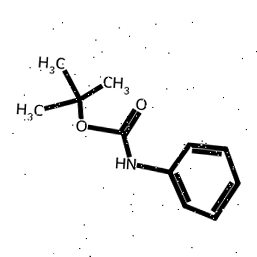 CC(C)(C)OC(=O)Nc1[c]cccc1